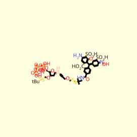 CC(C)(C)SSCO[C@@H]1C[C@H](BC#CCOCSSC(C)(C)CNC(=O)c2ccc(-c3c4cc/c(=N\O)c(S(=O)(=O)O)c-4oc4c(S(=O)(=O)O)c(N)ccc34)c(C(=O)O)c2)O[C@@H]1COP(=O)(O)OP(=O)(O)OP(=O)(O)O